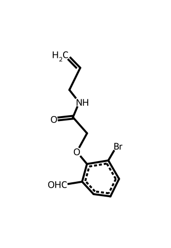 C=CCNC(=O)COc1c(Br)cccc1C=O